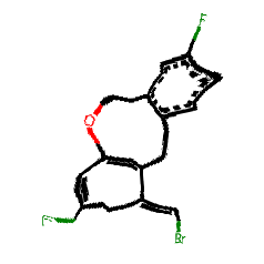 FC1=CC2=C(Cc3ccc(F)cc3CO2)C(=CBr)C1